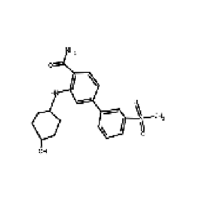 CS(=O)(=O)c1cccc(-c2ccc(C(N)=O)c(NC3CCC(O)CC3)c2)c1